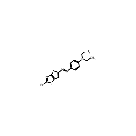 CCN(CC)c1ccc(N=Nc2cc3sc(Br)nc3s2)cc1